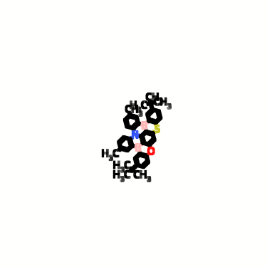 Cc1ccc2c(c1)B1c3cc(C(C)(C)C)ccc3Oc3cc4c5c(c31)N2c1ccc(C)cc1B5c1cc(C(C)(C)C)ccc1S4